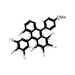 COc1ccc(-c2c3cccc(F)c3c(-c3cc(F)c(F)c(F)c3)c3c(F)c(F)c(F)c(F)c23)cc1